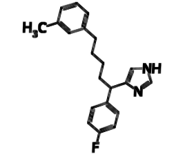 Cc1cccc(CCCCC(c2ccc(F)cc2)c2c[nH]cn2)c1